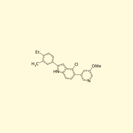 CCc1ccc(-c2cc3c(Cl)c(-c4cncc(OC)c4)ccc3[nH]2)cc1C